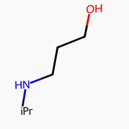 [CH2]C(C)NCCCO